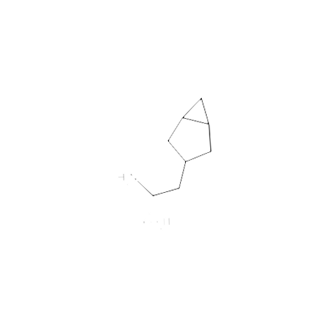 N[C@H](CC1CC2CC2C1)C(=O)O